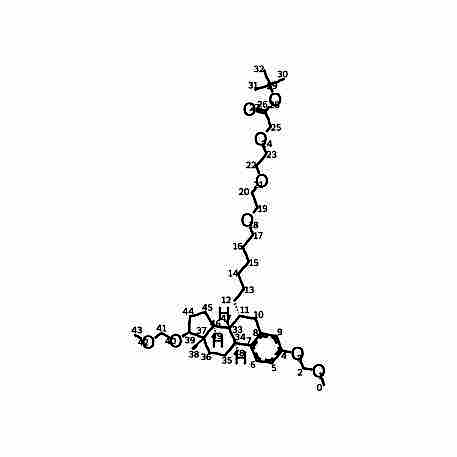 COCOc1ccc2c(c1)C[C@@H](CCCCCCOCCOCCOCC(=O)OC(C)(C)C)[C@@H]1[C@@H]2CC[C@]2(C)[C@@H](OCOC)CC[C@@H]12